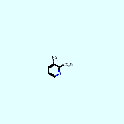 CCOC(=O)c1ncccc1[N+](=O)[O-]